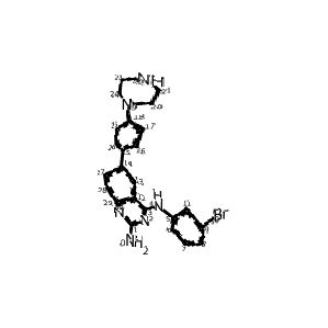 Nc1nc(Nc2cccc(Br)c2)c2cc(-c3ccc(N4CCNCC4)cc3)ccc2n1